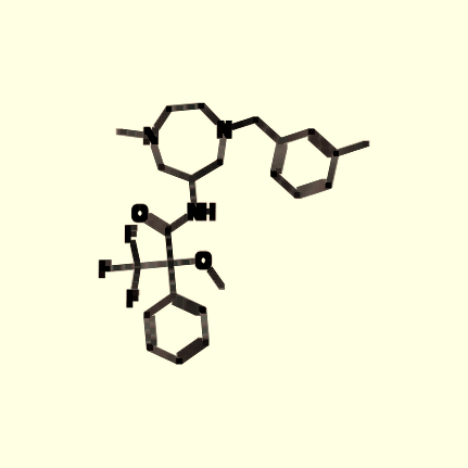 COC(C(=O)NC1CN(C)CCN(Cc2cccc(C)c2)C1)(c1ccccc1)C(F)(F)F